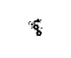 O=c1sc2cc(-c3cc(F)ccc3F)ccc2n1CC1CC1(F)F